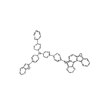 c1ccc(-c2ccc(N(c3ccc(-c4ccc(-n5c6ccccc6c6c7c(ccc65)oc5ccccc57)cc4)cc3)c3ccc(-c4cc5ccccc5o4)cc3)cc2)cc1